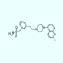 Cc1ccc2c(N3CCN(CCc4cccc(CS(N)(=O)=O)c4)CC3)cccc2n1